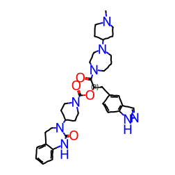 CN1CCC(N2CCCN(C(=O)[C@@H](Cc3ccc4[nH]ncc4c3)OC(=O)N3CCC(N4CCc5ccccc5NC4=O)CC3)CC2)CC1